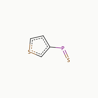 S=Pc1ccsc1